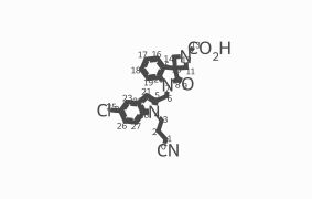 N#CCCCn1c(CN2C(=O)C3(CN(C(=O)O)C3)c3ccccc32)cc2cc(Cl)ccc21